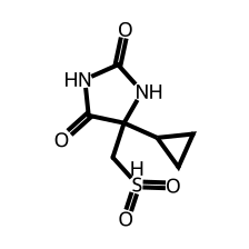 O=C1NC(=O)C(C[SH](=O)=O)(C2CC2)N1